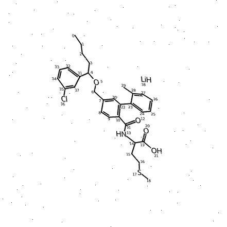 CCCCC(OCc1ccc(C(=O)NC(CCSC)C(=O)O)c(-c2ccccc2C)c1)c1cccc(Cl)c1.[LiH]